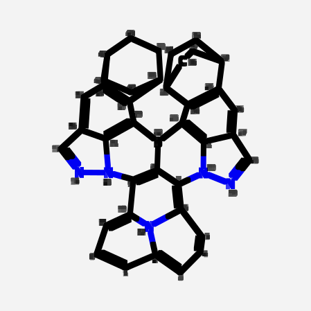 C1=CC2=CC=CC3=C4C5=C(C(=C1)N23)n1ncc2cc3c(c(c21)B5c1c2c(cc5cnn4c15)C1CCC2CC1)C1CCC3CC1